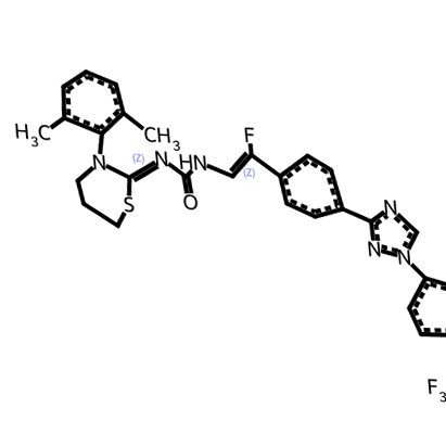 Cc1cccc(C)c1N1CCCS/C1=N\C(=O)N/C=C(\F)c1ccc(-c2ncn(-c3ccc(OC(F)(F)F)cc3)n2)cc1